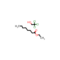 CCCCCCCC(=O)OCC.OCC(Cl)(Cl)Cl